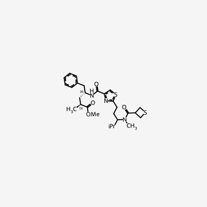 COC(=O)[C@@H](C)C[C@H](Cc1ccccc1)NC(=O)c1csc(CCC(C(C)C)N(C)C(=O)C2CSC2)n1